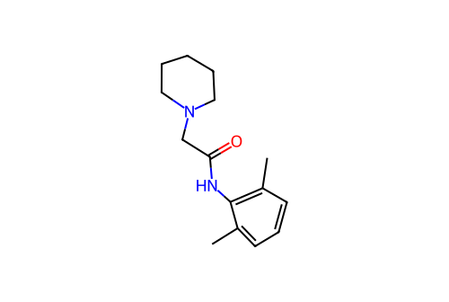 Cc1cccc(C)c1NC(=O)CN1CCCCC1